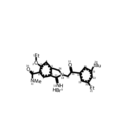 Br.CCOc1cc2c(cc1C(=O)NC)C(=N)N(CC(=O)c1cc(CC)cc(C(C)(C)C)c1)C2